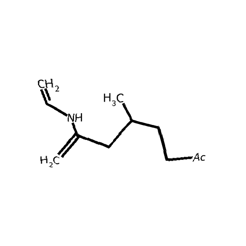 C=CNC(=C)CC(C)CCC(C)=O